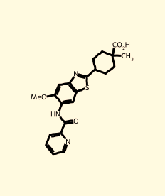 COc1cc2nc(C3CCC(C)(C(=O)O)CC3)sc2cc1NC(=O)c1ccccn1